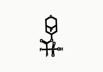 CN1C2CSCC1CC(OC(=O)C(F)(F)S(=O)(=O)O)C2